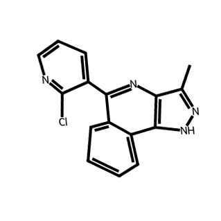 Cc1n[nH]c2c1nc(-c1cccnc1Cl)c1ccccc12